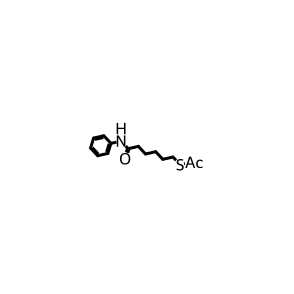 CC(=O)SCCCCCC(=O)Nc1ccccc1